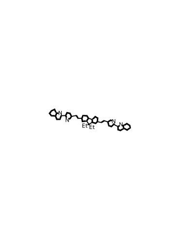 CCC1(CC)c2cc(/C=C/c3ccc(-c4ccc5ccccc5n4)nc3)ccc2-c2ccc(/C=C/c3ccc(-c4ccc5ccccc5n4)nc3)cc21